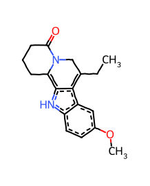 CCC1=c2c([nH]c3ccc(OC)cc23)=C2CCCC(=O)N2C1